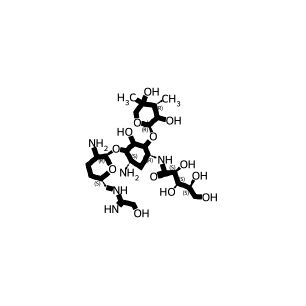 C[C@@H]1C(O)[C@@H](OC2C(O)C(O[C@H]3O[C@H](CNC(=N)CO)CCC3N)[C@@H](N)C[C@H]2NC(=O)[C@@H](O)[C@@H](O)[C@@H](O)CO)OCC1(C)O